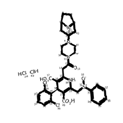 CCN1C2CCC1CC(N1CCN(C(=O)CC3=C(C(=O)O)[C@H](c4c(Cl)cccc4Cl)C(C(=O)O)=C(C[S+]([O-])c4ccccc4)N3)CC1)C2.Cl.Cl